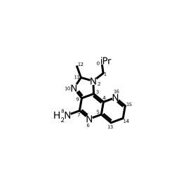 CC(C)CN1c2c3c(nc(N)c2=NC1C)=CCC=N3